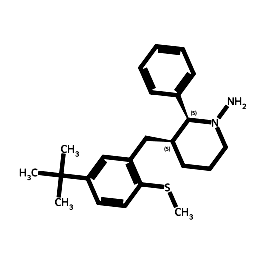 CSc1ccc(C(C)(C)C)cc1C[C@@H]1CCCN(N)[C@@H]1c1ccccc1